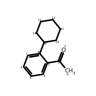 CC(=O)c1ccccc1C1CCCCC1